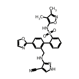 Cc1noc(NS(=O)(=O)c2ccccc2-c2ccc(-c3ncco3)cc2CNc2n[nH]cc2C#N)c1C